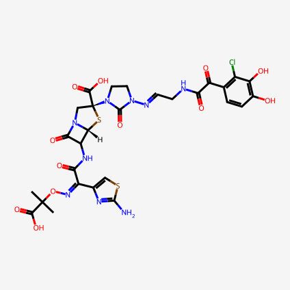 CC(C)(O/N=C(\C(=O)NC1C(=O)N2C[C@@](C(=O)O)(N3CCN(/N=C/CNC(=O)C(=O)c4ccc(O)c(O)c4Cl)C3=O)S[C@H]12)c1csc(N)n1)C(=O)O